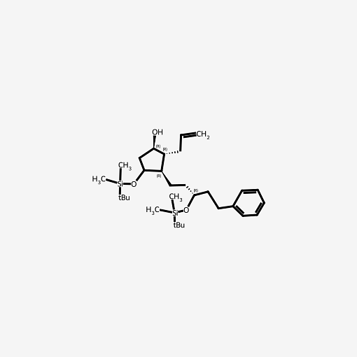 C=CC[C@H]1[C@H](O)CC(O[Si](C)(C)C(C)(C)C)[C@@H]1CC[C@H](CCc1ccccc1)O[Si](C)(C)C(C)(C)C